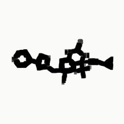 CC(F)(F)[C@@]1(C#CC2CC2)NC(=O)Nc2cc(Cn3cc(-c4ccncc4)cn3)c(F)cc21